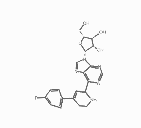 OC[C@H]1O[C@@H](n2cnc3c(C4C=C(c5ccc(F)cc5)CCN4)ncnc32)[C@H](O)[C@@H]1O